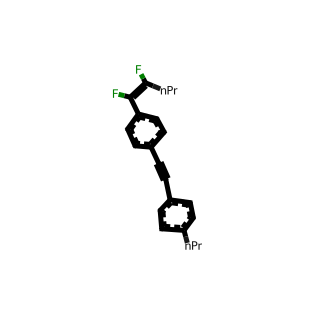 CCC/C(F)=C(/F)c1ccc(C#Cc2ccc(CCC)cc2)cc1